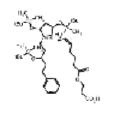 CC(C)(C)[Si](C)(C)OC(CCc1ccccc1)CC[C@H]1C(O[Si](C)(C)C(C)(C)C)CC(O[Si](C)(C)C(C)(C)C)[C@@H]1C/C=C\CCCC(=O)OCCC(=O)O